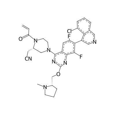 C=CC(=O)N1CCN(c2nc(OC[C@@H]3CCCN3C)nc3c(F)c(-c4cncc5cccc(Cl)c45)c(F)cc23)C[C@@H]1CC#N